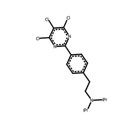 CC(C)N(CCc1ccc(-c2nc(Cl)c(Cl)c(Cl)n2)cc1)C(C)C